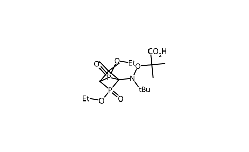 CCOP1(=O)C2C(C)(C)C1(N(OC(C)(C)C(=O)O)C(C)(C)C)P2(=O)OCC